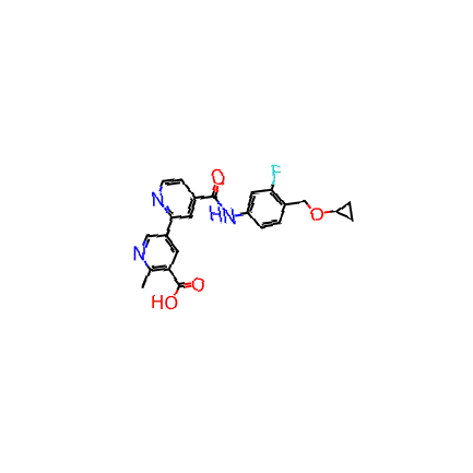 Cc1ncc(-c2cc(C(=O)Nc3ccc(COC4CC4)c(F)c3)ccn2)cc1C(=O)O